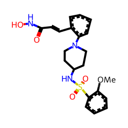 COc1ccccc1S(=O)(=O)NC1CCN(c2ccccc2C=CC(=O)NO)CC1